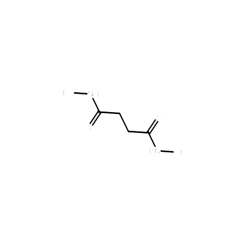 CNC(=O)CCC(=O)NO